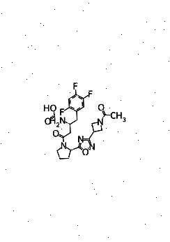 CC(=O)N1CC(c2noc(C3CCCN3C(=O)CC(N)Cc3cc(F)c(F)cc3F)n2)C1.O=CO